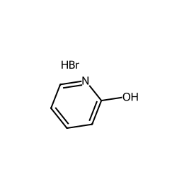 Br.Oc1ccccn1